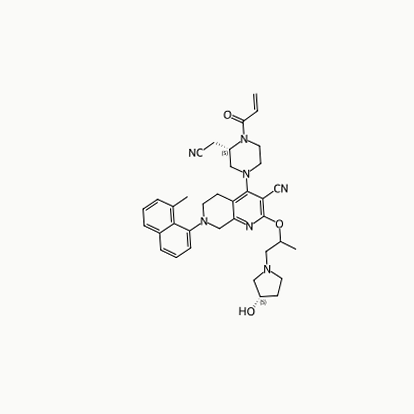 C=CC(=O)N1CCN(c2c(C#N)c(OC(C)CN3CC[C@H](O)C3)nc3c2CCN(c2cccc4cccc(C)c24)C3)C[C@@H]1CC#N